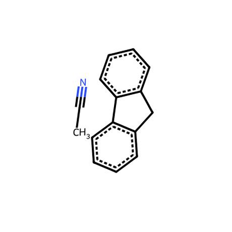 CC#N.c1ccc2c(c1)Cc1ccccc1-2